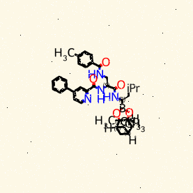 Cc1ccc(C(=O)NC[C@H](NC(=O)c2cc(-c3ccccc3)ccn2)C(=O)N[C@@H](CC(C)C)B2O[C@@H]3C[C@@H]4C[C@@H](C4(C)C)[C@]3(C)O2)cc1